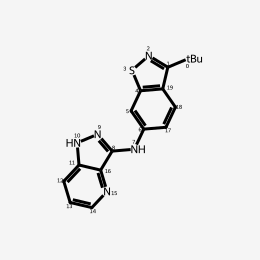 CC(C)(C)c1nsc2cc(Nc3n[nH]c4cccnc34)ccc12